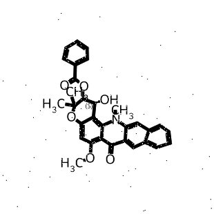 COc1cc2c(c3c1c(=O)c1cc4ccccc4cc1n3C)[C@H](O)[C@H](OC(=O)c1ccccc1)C(C)(C)O2